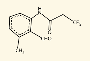 Cc1cccc(NC(=O)CC(F)(F)F)c1C=O